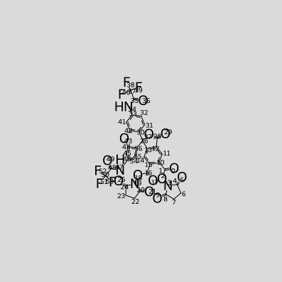 O=C(ON1C(=O)CCC1=O)c1cc2c(cc1C(=O)ON1C(=O)CCC1=O)C1(OC2=O)c2ccc(NC(=O)C(F)(F)F)cc2Oc2cc(NC(=O)C(F)(F)F)ccc21